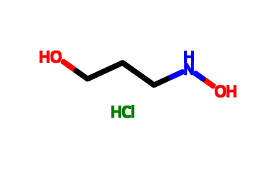 Cl.OCCCNO